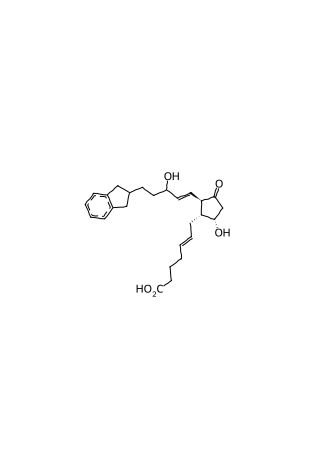 O=C(O)CCCC=CC[C@H]1[C@@H](O)CC(=O)[C@@H]1C=CC(O)CCC1Cc2ccccc2C1